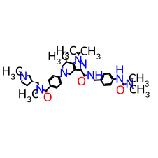 CC(C)n1nc(C(=O)NCc2ccc(NC(=O)N(C)C)cc2)c2c1[C@@H](C)CN(c1ccc(C(=O)N(C)C[C@H]3CCN(C)C3)cc1)C2